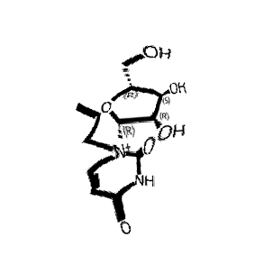 C=CC[N+]1([C@@H]2O[C@H](CO)[C@@H](O)[C@H]2O)C=CC(=O)NC1=O